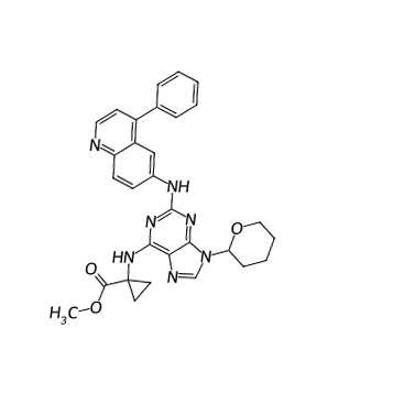 COC(=O)C1(Nc2nc(Nc3ccc4nccc(-c5ccccc5)c4c3)nc3c2ncn3C2CCCCO2)CC1